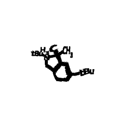 CC(C)(C)c1ccc2c(c1)C(C)(C)N(C(C)(C)C)C2